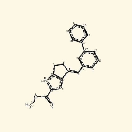 COC(=O)c1cc2c([nH]1)CC/C2=C\c1cccc(-c2ccccc2)c1